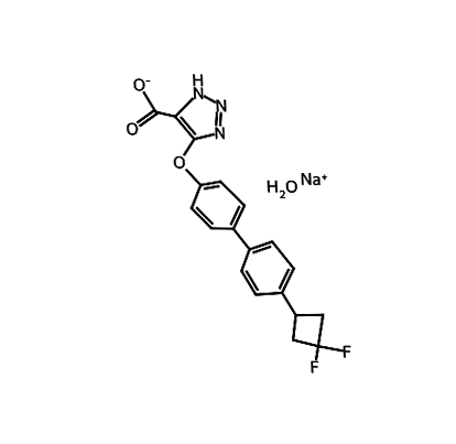 O.O=C([O-])c1[nH]nnc1Oc1ccc(-c2ccc(C3CC(F)(F)C3)cc2)cc1.[Na+]